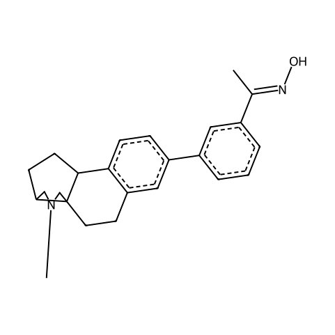 C/C(=N\O)c1cccc(-c2ccc3c(c2)CCC24CN(C)CC2CCC34)c1